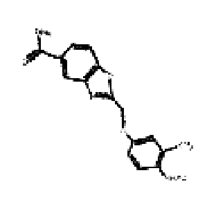 COC(=O)c1ccc2oc(COc3ccc(NC(C)=O)c(C)c3)nc2c1